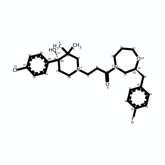 CC1(C)CN(CCC(=O)N2CCCO[C@@H](Cc3ccc(F)cc3)C2)CC[C@@]1(O)c1ccc(Cl)cc1